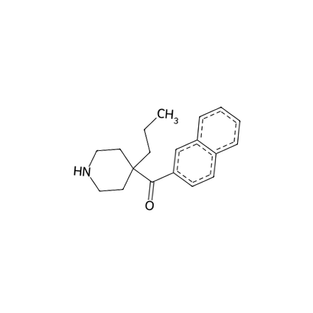 CCCC1(C(=O)c2ccc3ccccc3c2)CCNCC1